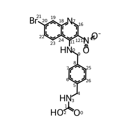 O=C(O)NCc1ccc(CNc2c([N+](=O)[O-])cnc3cc(Br)ccc23)cc1